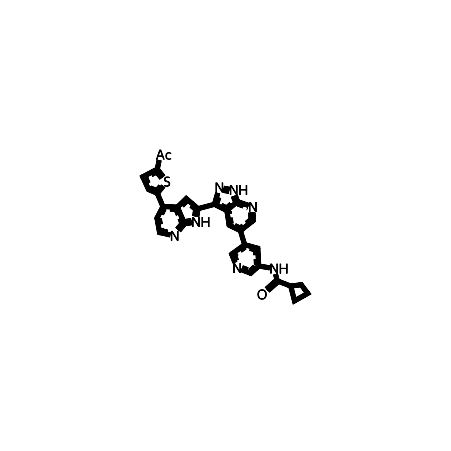 CC(=O)c1ccc(-c2ccnc3[nH]c(-c4n[nH]c5ncc(-c6cncc(NC(=O)C7CCC7)c6)cc45)cc23)s1